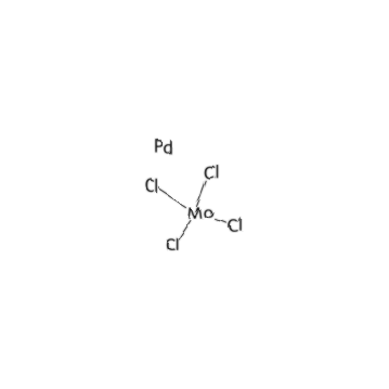 [Cl][Mo]([Cl])([Cl])[Cl].[Pd]